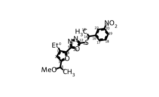 CCc1cc(C(C)OC)oc1-c1nnc(SC(C)c2cccc([N+](=O)[O-])c2)o1